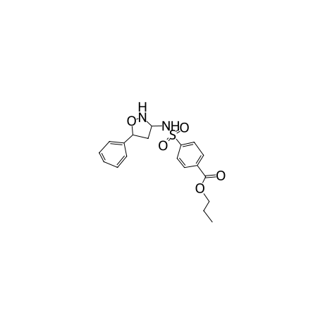 CCCOC(=O)c1ccc(S(=O)(=O)NC2CC(c3ccccc3)ON2)cc1